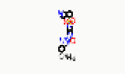 COc1cccc(CNC(=O)N2CC3=C(C2)CN(S(=O)(=O)c2cccc4cnccc24)C3)c1